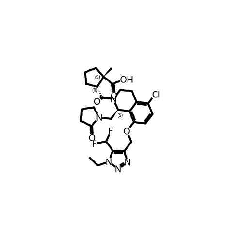 CCn1nnc(COc2ccc(Cl)c3c2[C@@H](CN2CCCC2=O)N(C(=O)[C@@H]2CCC[C@]2(C)C(=O)O)CC3)c1C(F)F